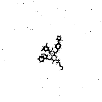 CCCCS(=O)(=O)NC(=O)C(Cc1c[nH]c2ccccc12)NC(=O)C(Cc1ccc(-c2ccsc2)cc1)N(C)C(=O)c1cc(C)cc(C)c1